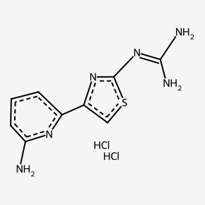 Cl.Cl.NC(N)=Nc1nc(-c2cccc(N)n2)cs1